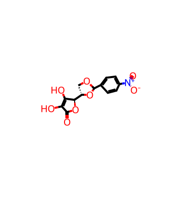 O=C1O[C@H]([C@@H]2COC(c3ccc([N+](=O)[O-])cc3)O2)C(O)=C1O